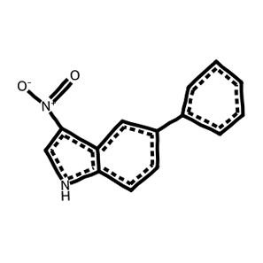 O=[N+]([O-])c1c[nH]c2ccc(-c3ccccc3)cc12